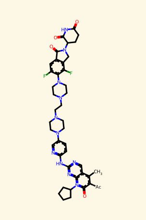 CC(=O)c1c(C)c2cnc(Nc3ccc(N4CCN(CCN5CCN(c6c(F)cc7c(c6F)CN(C6CCC(=O)NC6=O)C7=O)CC5)CC4)cn3)nc2n(C2CCCC2)c1=O